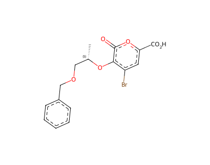 C[C@@H](COCc1ccccc1)Oc1c(Br)cc(C(=O)O)oc1=O